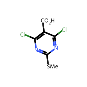 CSc1nc(Cl)c(C(=O)O)c(Cl)n1